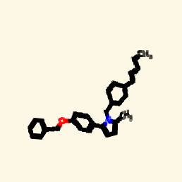 CCCCCC1CCC(Cn2c(C)ccc2-c2ccc(OCc3ccccc3)cc2)CC1